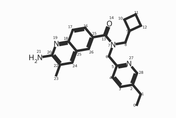 CCc1ccc(CN(CC2CCC2)C(=O)c2ccc3nc(N)c(C)cc3c2)nc1